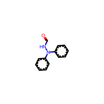 O=CNN(c1ccccc1)c1ccccc1